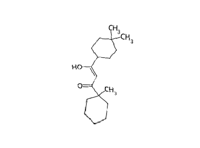 CC1(C)CCC(/C(O)=C/C(=O)C2(C)CCCCC2)CC1